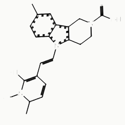 [2H]C1=C(C=Cn2c3c(c4cc(C)ccc42)CN(C(=O)O)CC3)C=CC(C)N1[2H]